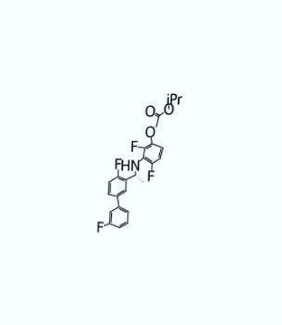 CC(C)OC(=O)COc1ccc(F)c(N[C@H](C)c2cc(-c3cccc(F)c3)ccc2F)c1F